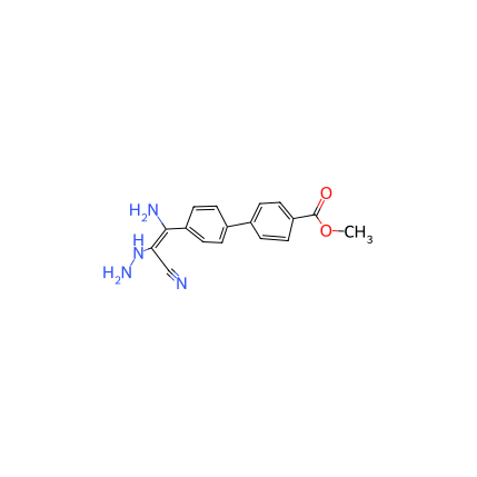 COC(=O)c1ccc(-c2ccc(/C(N)=C(\C#N)NN)cc2)cc1